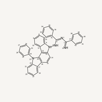 N=C(/N=C(\Nn1c2ccccc2c2c1ccc1c3ccccc3n(-c3ccccc3)c12)c1ccccc1)c1ccccc1